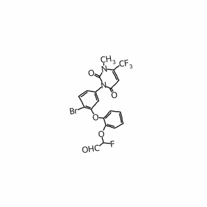 Cn1c(C(F)(F)F)cc(=O)n(-c2ccc(Br)c(Oc3ccccc3OC(F)C=O)c2)c1=O